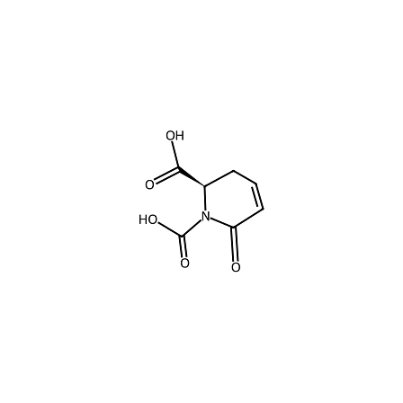 O=C(O)[C@H]1CC=CC(=O)N1C(=O)O